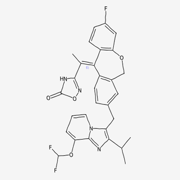 C/C(=C1/c2ccc(Cc3c(C(C)C)nc4c(OC(F)F)cccn34)cc2COc2cc(F)ccc21)c1noc(=O)[nH]1